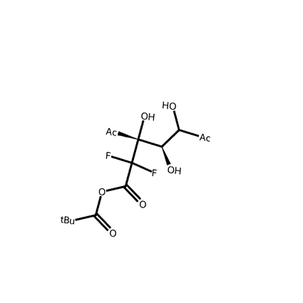 CC(=O)C(O)[C@@H](O)[C@](O)(C(C)=O)C(F)(F)C(=O)OC(=O)C(C)(C)C